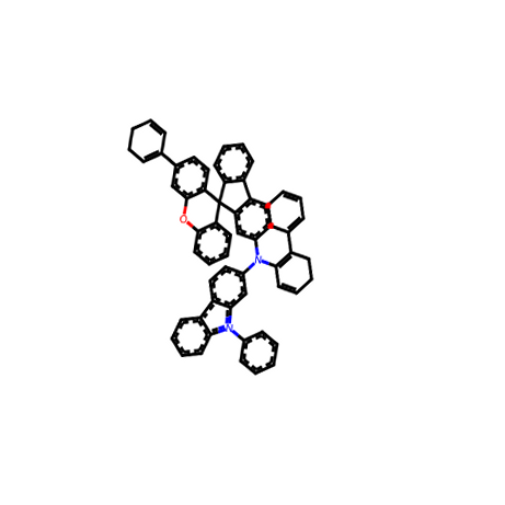 C1=CCCC(C2=C(N(c3ccc4c(c3)C3(c5ccccc5Oc5cc(C6=CCCC=C6)ccc53)c3ccccc3-4)c3ccc4c5ccccc5n(-c5ccccc5)c4c3)C=CCC2)=C1